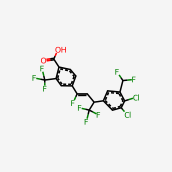 O=C(O)c1ccc(/C(F)=C/C(c2cc(Cl)c(Cl)c(C(F)F)c2)C(F)(F)F)cc1C(F)(F)F